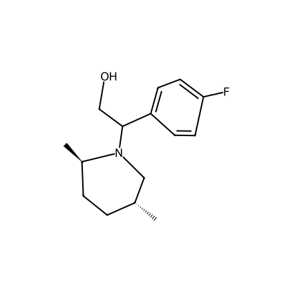 C[C@@H]1CC[C@@H](C)N(C(CO)c2ccc(F)cc2)C1